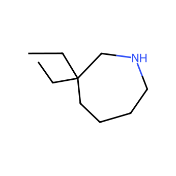 CCC1(CC)CCCCNC1